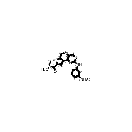 CC(=O)Nc1cccc(Nc2ncc3c(n2)-c2cc(C(=O)N(C)C)sc2CS3)c1